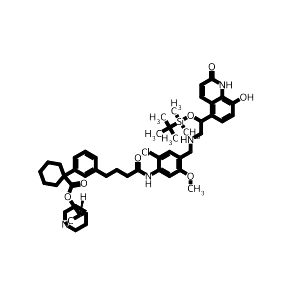 COc1cc(NC(=O)CCCc2cccc(C3(C(=O)O[C@H]4CN5CCC4CC5)CCCCC3)c2)c(Cl)cc1CNCC(O[Si](C)(C)C(C)(C)C)c1ccc(O)c2[nH]c(=O)ccc12